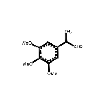 C=C(C=O)c1cc(OC)c(OC)c(OC)c1